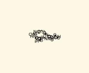 CNC(=O)COc1cc2cc(Nc3nc(N4CCC(CN5CCC6(CC5)CN(c5ccc7c(c5)CN(C5CCC(=O)NC5=O)C7=O)C6)CC4)ncc3Cl)ccc2n(C(C)C)c1=O